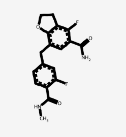 CNC(=O)c1ccc(Cc2cc(C(N)=O)c(F)c3c2OCC3)cc1F